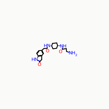 NCCC(=O)N[C@H]1CC[C@H](NC(=O)Cc2ccc3c(c2)CC(=O)N3)CC1